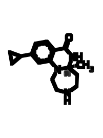 C[C@]12CCNCCN1c1cc(C3CC3)ccc1C(=O)N2